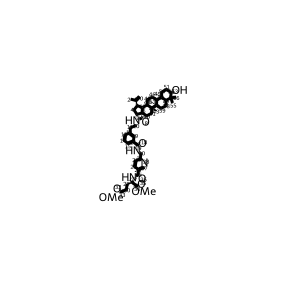 C=C(C)[C@@H]1CC[C@]2(C(=O)NCCc3cccc(C(=O)NCc4ccc(C(=O)N[C@H](CCC(=O)OC)C(=O)OC)cn4)c3)CC[C@]3(C)C(CCC4[C@@]5(C)CC[C@H](O)C(C)(C)C5CC[C@]43C)C12